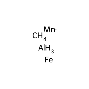 C.[AlH3].[Fe].[Mn]